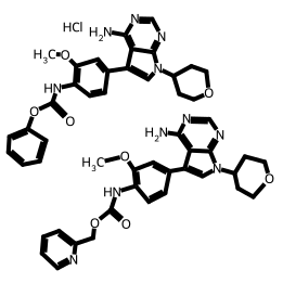 COc1cc(-c2cn(C3CCOCC3)c3ncnc(N)c23)ccc1NC(=O)OCc1ccccn1.COc1cc(-c2cn(C3CCOCC3)c3ncnc(N)c23)ccc1NC(=O)Oc1ccccc1.Cl